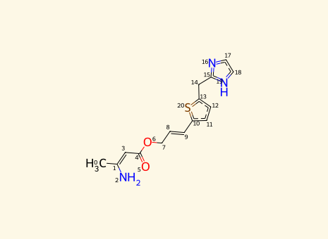 CC(N)=CC(=O)OCC=Cc1ccc(Cc2ncc[nH]2)s1